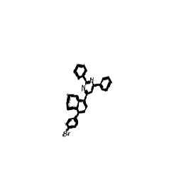 Brc1ccc(-c2ccc(-c3cc(-c4ccccc4)nc(-c4ccccc4)n3)c3ccccc23)cc1